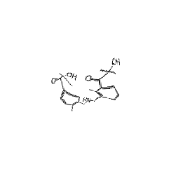 Cc1ccc(C(=O)C(C)(C)O)cc1CNCc1cccc(C(=O)C(C)(C)O)c1C